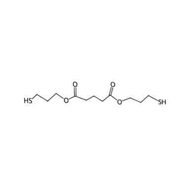 O=C(CCCC(=O)OCCCS)OCCCS